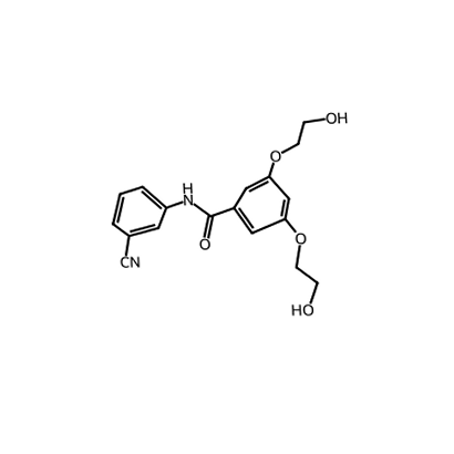 N#Cc1cccc(NC(=O)c2cc(OCCO)cc(OCCO)c2)c1